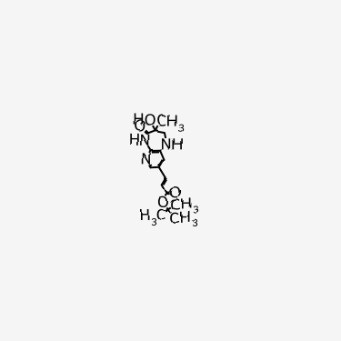 CC(C)(C)OC(=O)C=Cc1cnc2c(c1)NCC(C)(O)C(=O)N2